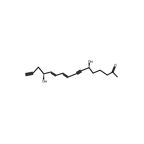 C#CC[C@H](O)/C=C/C=C/C#C[C@@H](O)CCCC(C)=O